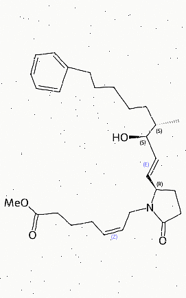 COC(=O)CCC/C=C\CN1C(=O)CC[C@@H]1/C=C/[C@@H](O)[C@@H](C)CCCCCc1ccccc1